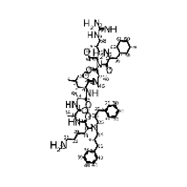 CC(C)C[C@H](NC(=O)[C@H](C)NC(=O)[C@H](C)NC(=O)[C@H](CCCCN)N(CCCc1ccccc1)CCCc1ccccc1)C(=O)N(C)[C@@H](C)C(=O)N(C(=O)[C@@H](N)CC1CCCCC1)[C@H]([C]=O)CCCNC(=N)N